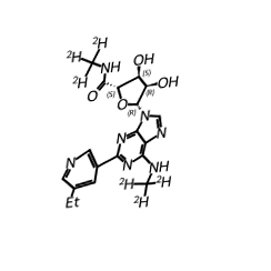 [2H]C([2H])([2H])NC(=O)[C@H]1O[C@@H](n2cnc3c(NC([2H])([2H])[2H])nc(-c4cncc(CC)c4)nc32)[C@H](O)[C@@H]1O